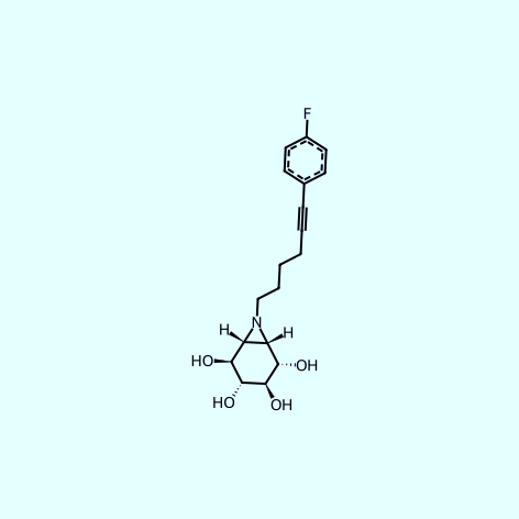 O[C@H]1[C@H](O)[C@@H](O)[C@H]2[C@@H]([C@@H]1O)N2CCCCC#Cc1ccc(F)cc1